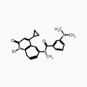 CCn1c2c(c(C3CC3)cc1=O)C=C(N(C)C(=O)c1cccc(N(C)C)c1)C#CC2